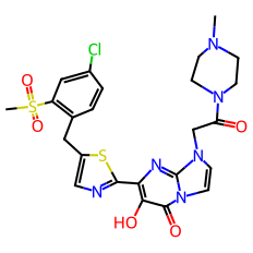 CN1CCN(C(=O)Cn2ccn3c(=O)c(O)c(-c4ncc(Cc5ccc(Cl)cc5S(C)(=O)=O)s4)nc23)CC1